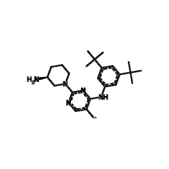 [CH2]c1cnc(N2CCC[C@H](N)C2)nc1Nc1cc(C(C)(C)C)cc(C(C)(C)C)c1